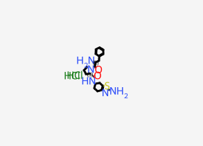 Cl.Cl.Nc1nc2c(s1)CC(NC(=O)[C@@H]1CCCN1C(=O)[C@H](N)Cc1ccccc1)CC2